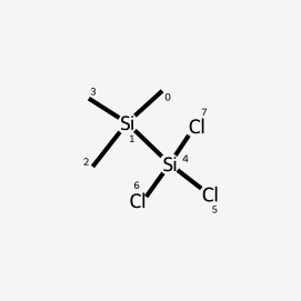 C[Si](C)(C)[Si](Cl)(Cl)Cl